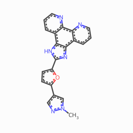 Cn1cc(-c2ccc(-c3nc4c5cccnc5c5ncccc5c4[nH]3)o2)cn1